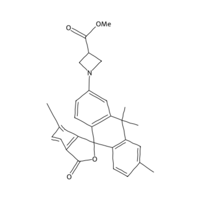 COC(=O)C1CN(c2ccc3c(c2)C(C)(C)c2cc(C)ccc2C32OC(=O)c3ccc(C)cc32)C1